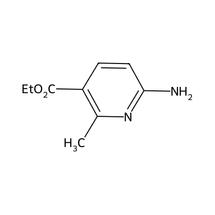 CCOC(=O)c1ccc(N)nc1C